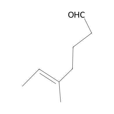 CC=C(C)CCCC=O